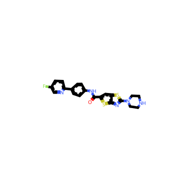 O=C(Nc1ccc(-c2ccc(F)cn2)cc1)c1cc2sc(N3CCNCC3)nc2s1